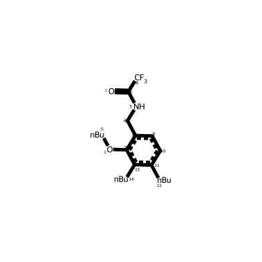 CCCCOc1c(CNC(=O)C(F)(F)F)ccc(CCCC)c1CCCC